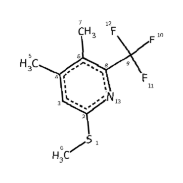 CSc1cc(C)c(C)c(C(F)(F)F)n1